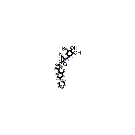 N#C/C(=C\c1cc(O)c(O)c(Br)c1)C(=O)Nc1nc(-c2ncc(N3CCOCC3)cc2F)cs1